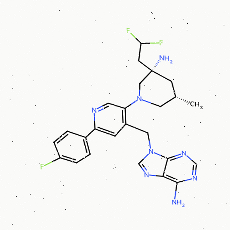 C[C@@H]1CN(c2cnc(-c3ccc(F)cc3)cc2Cn2cnc3c(N)ncnc32)C[C@@](N)(CC(F)F)C1